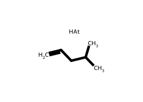 C=CCC(C)C.[AtH]